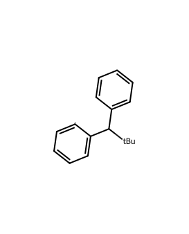 CC(C)(C)C(c1[c]cccc1)c1ccccc1